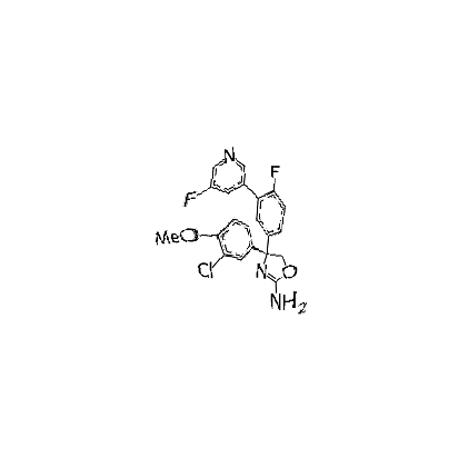 COc1ccc([C@@]2(c3ccc(F)c(-c4cncc(F)c4)c3)COC(N)=N2)cc1Cl